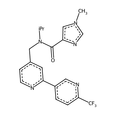 CC(C)N(Cc1ccnc(-c2ccc(C(F)(F)F)nc2)c1)C(=O)c1cn(C)cn1